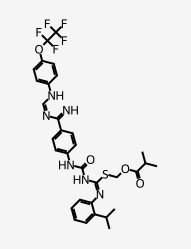 CC(C)C(=O)OCS/C(=N/c1ccccc1C(C)C)NC(=O)Nc1ccc(C(=N)/N=C\Nc2ccc(OC(F)(F)C(F)(F)F)cc2)cc1